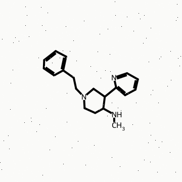 CNC1CCN(CCc2ccccc2)CC1c1ccccn1